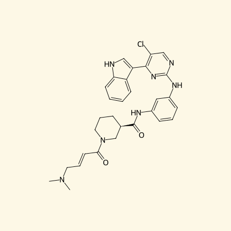 CN(C)CC=CC(=O)N1CCC[C@@H](C(=O)Nc2cccc(Nc3ncc(Cl)c(-c4c[nH]c5ccccc45)n3)c2)C1